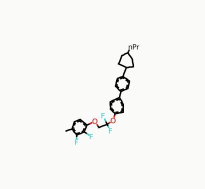 CCCC1CCC(c2ccc(-c3ccc(OC(F)(F)COc4ccc(C)c(F)c4F)cc3)cc2)CC1